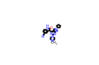 CN1CCN(c2nc(C3C(=O)Nc4ccc(C#N)cc43)c3cn(C4CCCC4)nc3n2)CC1